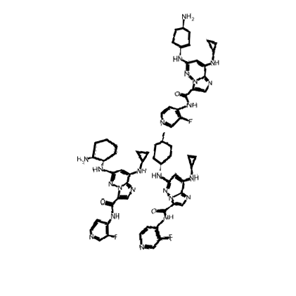 C[C@H]1CC[C@H](Nc2cc(NC3CC3)c3ncc(C(=O)Nc4ccncc4F)n3n2)CC1.N[C@H]1CCCC[C@@H]1Nc1cc(NC2CC2)c2ncc(C(=O)Nc3ccncc3F)n2n1.N[C@H]1CC[C@@H](Nc2cc(NC3CC3)c3ncc(C(=O)Nc4ccncc4F)n3n2)CC1